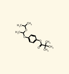 CC(C)OC(C)Oc1ccc(OC(=O)C(C)(C)C)cc1